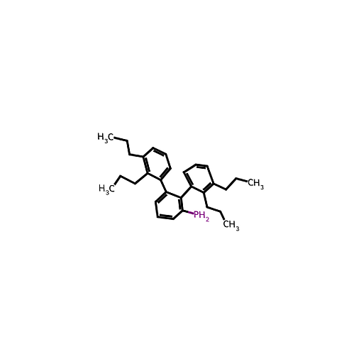 CCCc1cccc(-c2cccc(P)c2-c2cccc(CCC)c2CCC)c1CCC